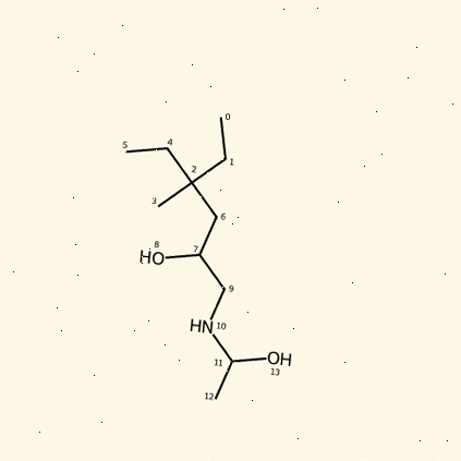 CCC(C)(CC)CC(O)CNC(C)O